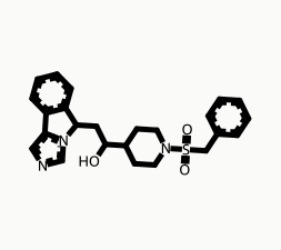 O=S(=O)(Cc1ccccc1)N1CCC(C(O)CC2c3ccccc3-c3cncn32)CC1